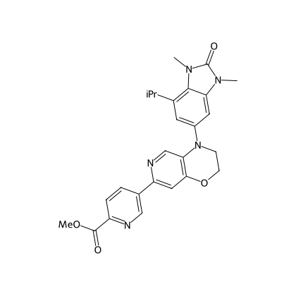 COC(=O)c1ccc(-c2cc3c(cn2)N(c2cc(C(C)C)c4c(c2)n(C)c(=O)n4C)CCO3)cn1